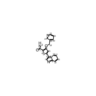 NC(=O)c1sc(-c2cnc3ccccn23)cc1OCc1cccnc1